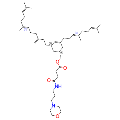 C=C(CC/C=C(\C)CCC=C(C)C)CC[C@@H]1C=C(CC/C=C(\C)CCC=C(C)C)C[C@H](COC(=O)CCC(=O)NCCCN2CCOCC2)C1